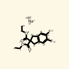 CCOC(=O)C1(C(=O)OCC)Cc2cc(F)c(F)cc2C1.[H-].[Na+]